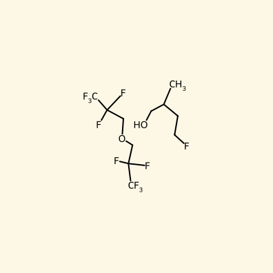 CC(CO)CCF.FC(F)(F)C(F)(F)COCC(F)(F)C(F)(F)F